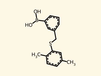 Cc1ccc(C)c(SCc2cccc(B(O)O)c2)c1